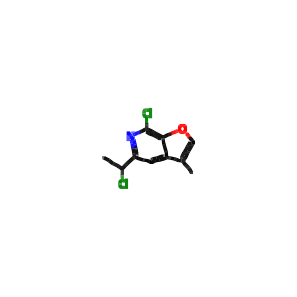 Cc1coc2c(Cl)nc(C(C)Cl)cc12